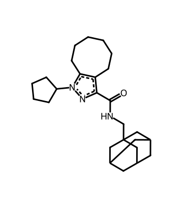 O=C(NCC12CC3CC(CC(C3)C1)C2)c1nn(C2CCCC2)c2c1CCCCCC2